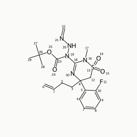 C=CCCC1(c2ccccc2F)CS(=O)(=O)N(C)C(N(NN=C)C(=O)OC(C)(C)C)=N1